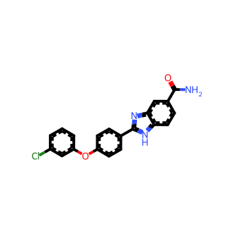 NC(=O)c1ccc2[nH]c(-c3ccc(Oc4cccc(Cl)c4)cc3)nc2c1